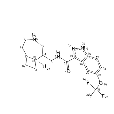 O=C(NCC1CNCCC2CC[C@@H]21)c1n[nH]c2ccc(OC(F)(F)F)cc12